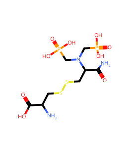 NC(=O)C(CSSCC(N)C(=O)O)N(CP(=O)(O)O)CP(=O)(O)O